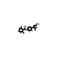 CC(=O)c1cc(-c2ccc(NC(=O)c3c(C)cccc3F)cc2)c(C)s1